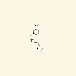 COc1ccc(NC(=O)N2Cc3ccc(C(=O)NO)cc3OCC2(C)C)cc1